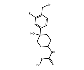 CC(C)(C)OC(=O)NC1CCC(C#N)(c2ccc(CBr)c(F)c2)CC1